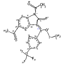 CCO/C(=C1\C(=O)N(C(C)=O)c2ccc(C(C)=O)cc21)c1ccc(C(F)(F)F)cc1